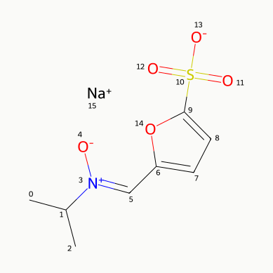 CC(C)[N+]([O-])=Cc1ccc(S(=O)(=O)[O-])o1.[Na+]